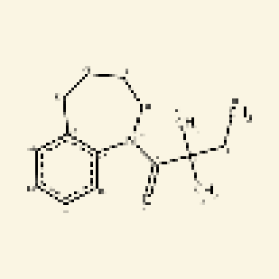 CCC(C)(C)C(=O)N1CCCCc2ccccc21